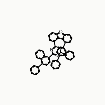 c1ccc(-c2ccc(-c3cccc4oc5cccc(C6=NC(c7ccc(-c8ccccc8)c8ccccc78)=NC(c7ccccc7)N6)c5c34)cc2)cc1